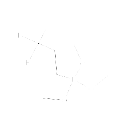 C[O][Ti]([CH2]CC(F)(F)F)([O]C)[O]C